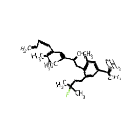 C=C/C=C\C(/C=C(\C)C(=C)Cc1c(C)cc(C(=C)C)cc1CCC(C)(C)F)=C(C)C